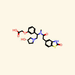 CN(C(=O)Cc1ccc2sc(=O)[nH]c2c1)C(CN1CC[C@H](O)C1)c1cccc(OCC(=O)O)c1